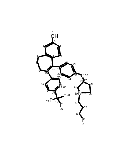 Oc1ccc2c(c1)CCCC(c1ccc(C(F)(F)F)nc1)=C2c1ccc(O[C@H]2CCN(CCCF)C2)cc1